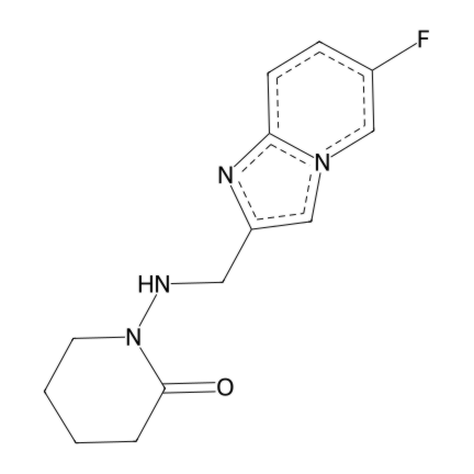 O=C1CCCCN1NCc1cn2cc(F)ccc2n1